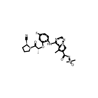 Cc1c(C(=O)N=S(C)(C)=O)cn2ncnc(Nc3ccc(F)cc3O[C@H](C)C(=O)N3CCC[C@H]3C#N)c12